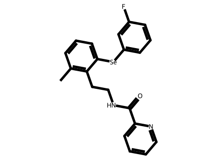 Cc1cccc([Se]c2cccc(F)c2)c1CCNC(=O)c1ccccn1